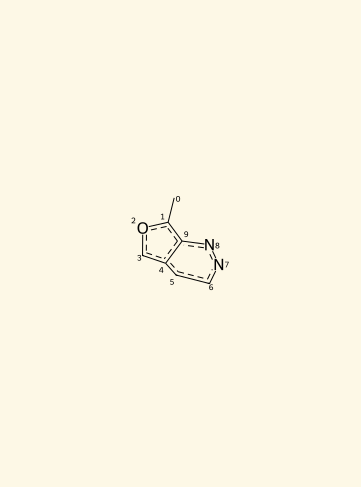 Cc1occ2ccnnc12